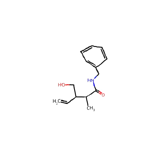 C=CC(CO)C(C)C(=O)NCc1ccccc1